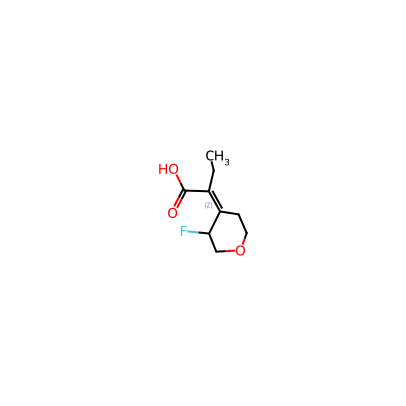 CC/C(C(=O)O)=C1\CCOCC1F